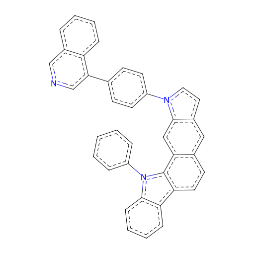 c1ccc(-n2c3ccccc3c3ccc4cc5ccn(-c6ccc(-c7cncc8ccccc78)cc6)c5cc4c32)cc1